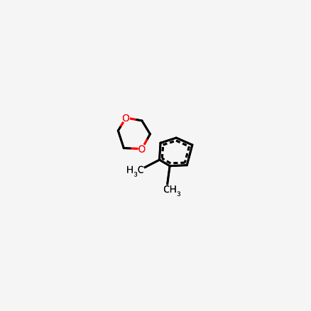 C1COCCO1.Cc1ccccc1C